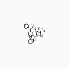 CCN(CC)C(=O)C(c1ccccc1)C1CCN(c2cc[c]cn2)C(C(N)=O)C1